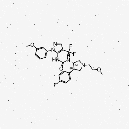 COCCN1C[C@@H](NC(=O)Nc2c(C(F)(F)F)cnn2-c2cccc(OC)c2)[C@H](c2ccc(F)cc2)C1